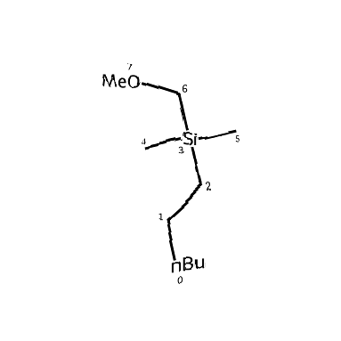 CCCCCC[Si](C)(C)COC